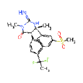 CN1C(=N)N[C@](C)(c2cccc(S(C)(=O)=O)c2)[C@@H](c2ccc(C(C)(F)F)cc2)C1=O